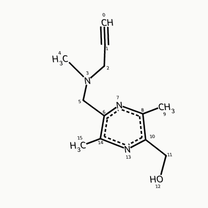 C#CCN(C)Cc1nc(C)c(CO)nc1C